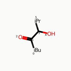 CCC(C)C(=O)C(O)C(C)C